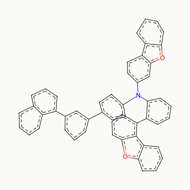 c1cc(-c2ccc(N(c3ccc4c(c3)oc3ccccc34)c3ccccc3-c3cccc4oc5ccccc5c34)cc2)cc(-c2cccc3ccccc23)c1